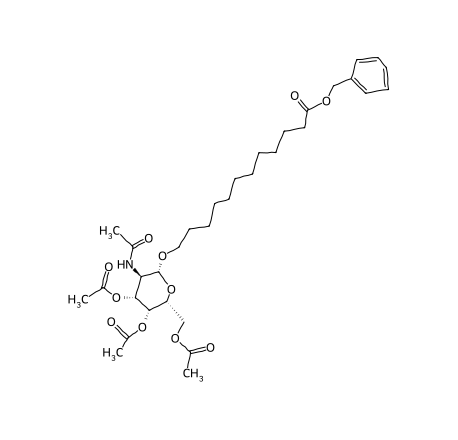 CC(=O)N[C@H]1[C@H](OCCCCCCCCCCCC(=O)OCc2ccccc2)O[C@H](COC(C)=O)[C@H](OC(C)=O)[C@@H]1OC(C)=O